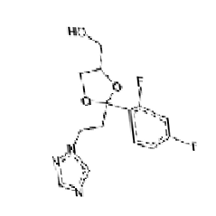 OCC1COC(CCn2cncn2)(c2ccc(F)cc2F)O1